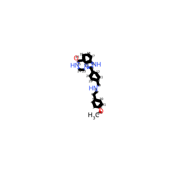 COc1ccc(CCNCc2ccc(C3Nc4cccc5c4N3CCNC5=O)cc2)cc1